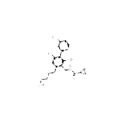 CCCCCc1cc(O)c(-c2cccc(C)c2)c(O)c1CNC(=O)C1CC1